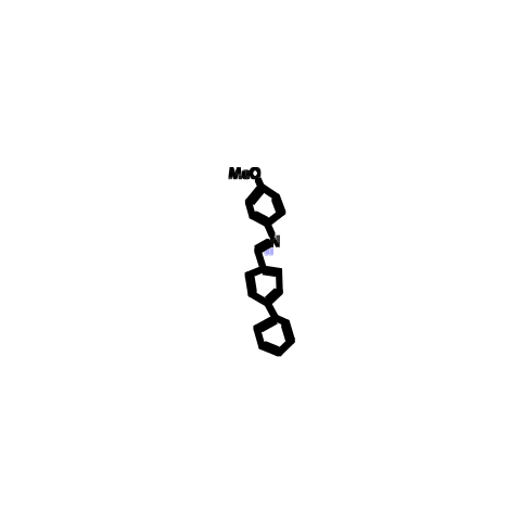 COc1ccc(/N=C/c2ccc(-c3ccccc3)cc2)cc1